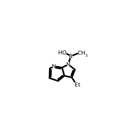 CCc1cn(B(C)O)c2ncccc12